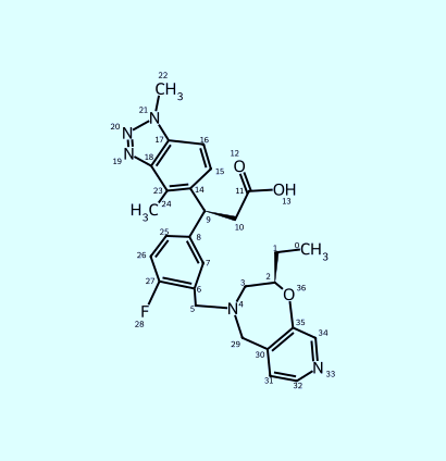 CC[C@@H]1CN(Cc2cc([C@H](CC(=O)O)c3ccc4c(nnn4C)c3C)ccc2F)Cc2ccncc2O1